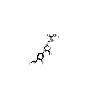 CC(=O)NC[C@H]1CN(c2ccc(/C=C/F)c(F)c2)C(=O)O1